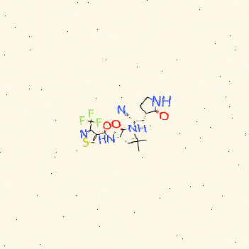 CC(C)(C)C[C@H](NC(=O)c1csnc1C(F)(F)F)C(=O)N[C@H](C#N)C[C@@H]1CCNC1=O